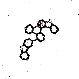 N#Cc1ccccc1-c1c(-c2ccc3sc4ccccc4c3c2)cccc1-c1cccc2sc3ccccc3c12